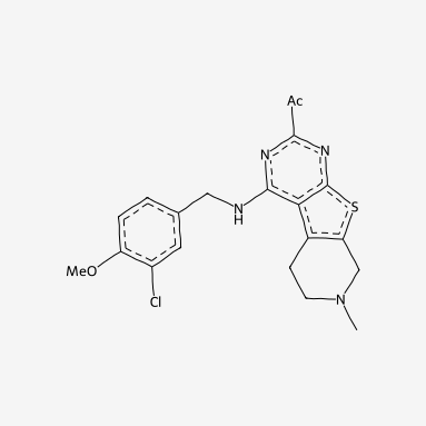 COc1ccc(CNc2nc(C(C)=O)nc3sc4c(c23)CCN(C)C4)cc1Cl